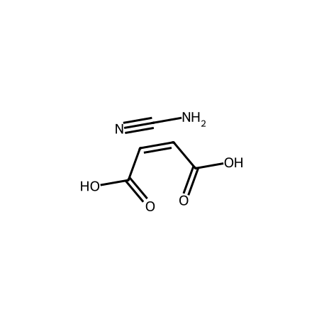 N#CN.O=C(O)/C=C\C(=O)O